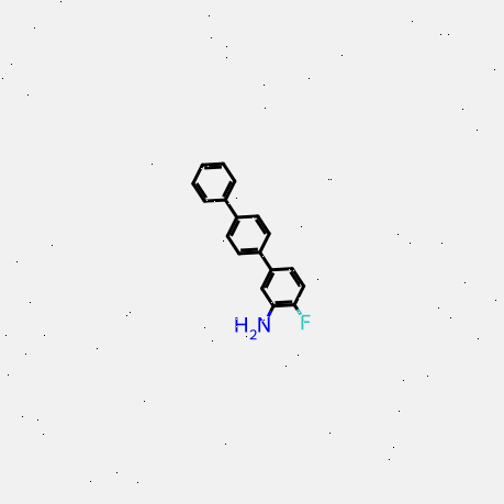 Nc1cc(-c2ccc(-c3ccccc3)cc2)ccc1F